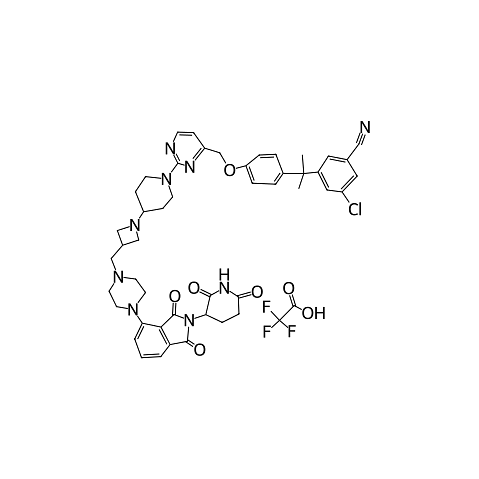 CC(C)(c1ccc(OCc2ccnc(N3CCC(N4CC(CN5CCN(c6cccc7c6C(=O)N(C6CCC(=O)NC6=O)C7=O)CC5)C4)CC3)n2)cc1)c1cc(Cl)cc(C#N)c1.O=C(O)C(F)(F)F